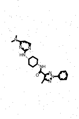 Cc1nn(-c2ccccc2)nc1C(=O)N[C@H]1CC[C@@H](Nc2nccc(N(C)C)n2)CC1